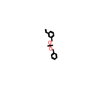 C=Cc1cccc(COC(C)(C)OCc2ccccc2)c1